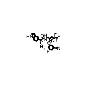 CC(C(=O)NCc1cc(C(F)(F)F)nn1Oc1cc(F)cc(C#N)c1)c1ccc2[nH]ccc2c1